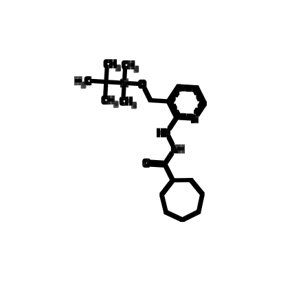 CC(C)(C)[Si](C)(C)OCc1cccnc1NNC(=O)C1CCCCCC1